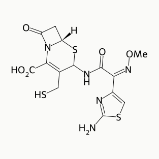 CO/N=C(\C(=O)NC1S[C@H]2CC(=O)N2C(C(=O)O)=C1CS)c1csc(N)n1